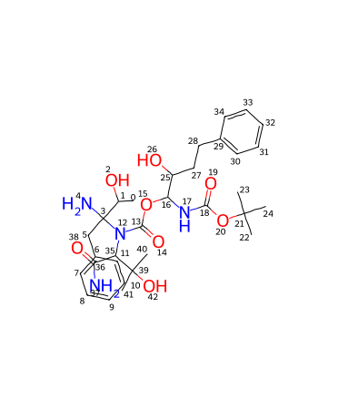 CC(O)C(N)(Cc1ccccc1)N(C(=O)OC(NC(=O)OC(C)(C)C)C(O)CCc1ccccc1)C(C(N)=O)C(C)(C)O